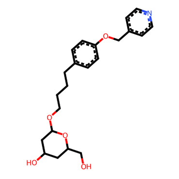 OCC1CC(O)CC(OCCCCc2ccc(OCc3ccncc3)cc2)O1